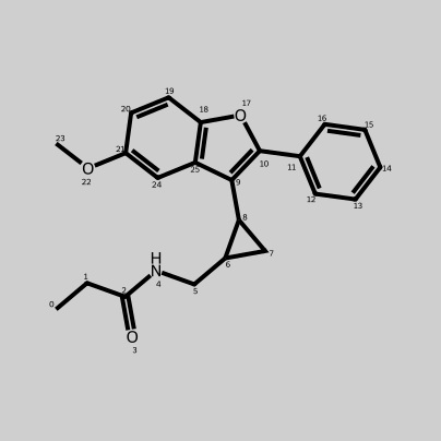 CCC(=O)NCC1CC1c1c(-c2ccccc2)oc2ccc(OC)cc12